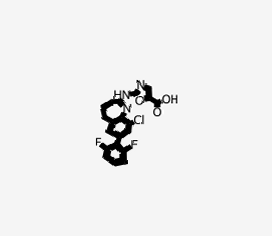 O=C(O)c1cnc(NC2=Nc3c(Cl)cc(-c4c(F)cccc4F)cc3CC=C2)o1